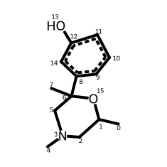 CC1CN(C)CC(C)(c2cccc(O)c2)O1